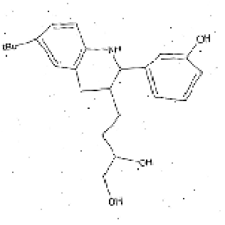 CC(C)(C)c1ccc2c(c1)CC(CCC(O)CO)C(c1cccc(O)c1)N2